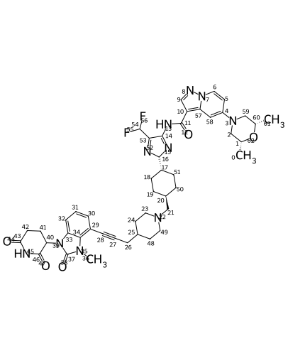 C[C@@H]1CN(c2ccn3ncc(C(=O)NC4=NC([C@H]5CC[C@H](CN6CCC(CC#Cc7cccc8c7n(C)c(=O)n8C7CCC(=O)NC7=O)CC6)CC5)N=C4C(F)F)c3c2)C[C@H](C)O1